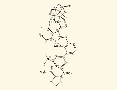 CNC(=O)[C@@H]1CCCN1C(=O)c1cc(-c2cccc(CN3O[C@@H](CO)[C@@H]([C@H](C)O)[C@H]3C(=O)N[C@H]3C[C@H]4C[C@@H]([C@@H]3C)C4(C)C)c2OC)cc(N(C)C)c1